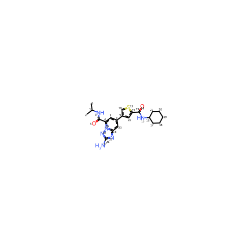 CC(C)NC(=O)c1cc(-c2csc(C(=O)NC3CCCCC3)c2)cc2nc(N)nn12